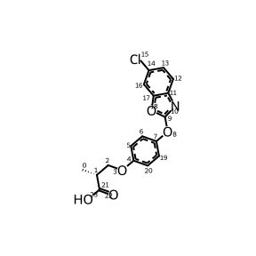 C[C@H](COc1ccc(Oc2nc3ccc(Cl)cc3o2)cc1)C(=O)O